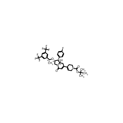 C[C@@H](O[C@H]1CN2C(=O)C=C(C3=CCN(C(=O)OC(C)(C)C)CC3)C[C@H]2[C@@H]1c1ccc(F)cc1)c1cc(C(F)(F)F)cc(C(F)(F)F)c1